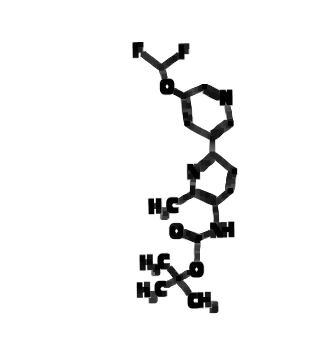 Cc1nc(-c2cncc(OC(F)F)c2)ccc1NC(=O)OC(C)(C)C